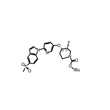 CC(C)(C)OC(=O)N1CC[C@H](Oc2ccc(-n3ccc4cc(S(C)(=O)=O)ccc43)nc2)[C@@H](F)C1